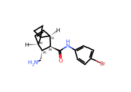 NC[C@H]1[C@H](C(=O)Nc2ccc(Br)cc2)[C@@H]2C=C[C@H]1C21CC1